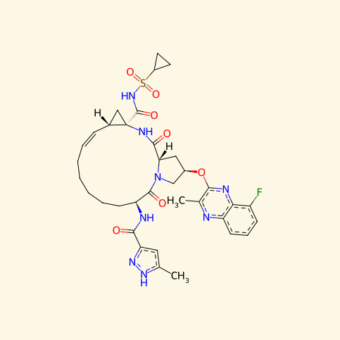 Cc1cc(C(=O)N[C@H]2CCCCC/C=C\[C@@H]3C[C@@]3(C(=O)NS(=O)(=O)C3CC3)NC(=O)[C@@H]3C[C@@H](Oc4nc5c(F)cccc5nc4C)CN3C2=O)n[nH]1